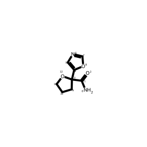 NC(=O)C1(c2cnco2)CCCO1